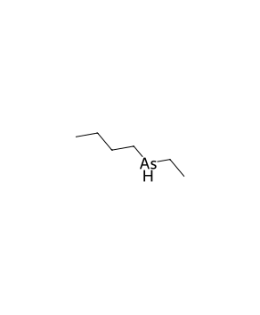 CCCC[AsH]CC